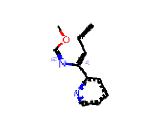 C=C/C=C(\N=C/OC)c1ccccn1